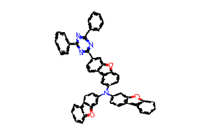 c1ccc(-c2nc(-c3ccccc3)nc(-c3ccc4c(c3)oc3ccc(N(c5ccc6c(c5)oc5ccccc56)c5ccc6c(c5)oc5ccccc56)cc34)n2)cc1